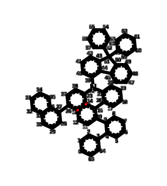 c1ccc(-c2ccccc2-c2ccccc2-c2ccccc2N(c2ccc(-c3cccc4ccccc34)cc2)c2cccc3c2-c2ccccc2C3(c2ccccc2)c2ccccc2)cc1